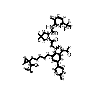 CC(=O)c1nn(CC(=O)N2CC(C)(C)C[C@H]2C(=O)Nc2nc(C(F)(F)F)ccc2C)c2c(CCCCCC3(C(=O)N(C)C)CC3)cc(-c3cnc(C)nc3)cc12